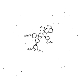 COc1ccc(C2(c3ccc(N4CC(C)OC(C)C4)cc3)C=Cc3c4c(c5ccc(OC)cc5c3O2)-c2ccccc2C2(C)C3CCCCCCC432)cc1